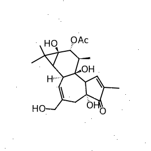 CC(=O)O[C@@H]1[C@@H](C)[C@]2(O)C3C=C(C)C(=O)[C@@]3(O)CC(CO)=C[C@H]2C2C(C)(C)[C@@]21O